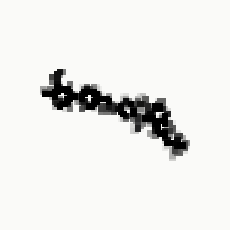 COc1cc(-c2ccc(CN[C@H]3C[C@@H](O)[C@@H](N(C)c4ncnc5sc(CC(F)(F)F)cc45)C3)cc2)cnc1C